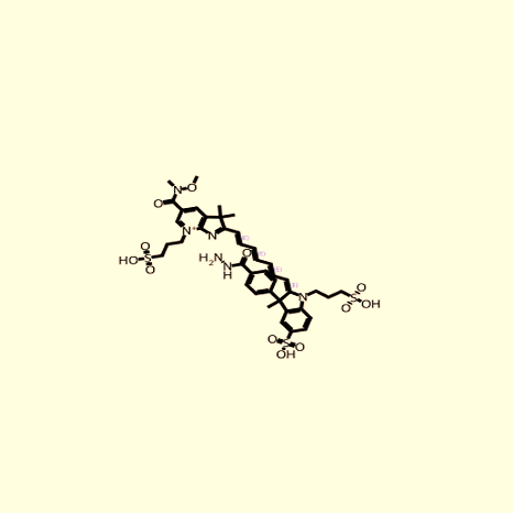 CON(C)C(=O)c1cc2c([n+](CCCS(=O)(=O)O)c1)N=C(/C=C/C=C/C=C/C=C1/N(CCCS(=O)(=O)O)c3ccc(S(=O)(=O)O)cc3C1(C)c1ccc(C(=O)NN)cc1)C2(C)C